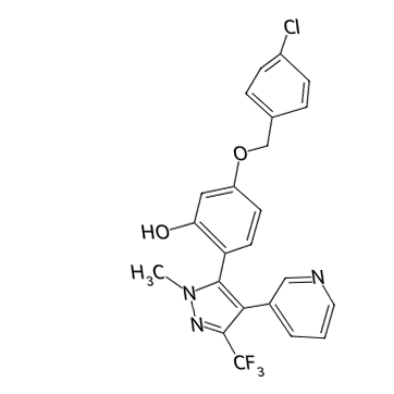 Cn1nc(C(F)(F)F)c(-c2cccnc2)c1-c1ccc(OCc2ccc(Cl)cc2)cc1O